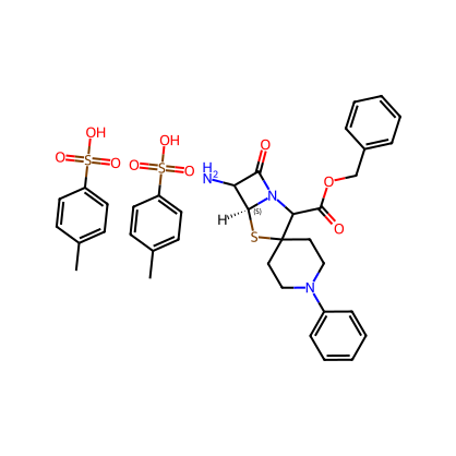 Cc1ccc(S(=O)(=O)O)cc1.Cc1ccc(S(=O)(=O)O)cc1.NC1C(=O)N2C(C(=O)OCc3ccccc3)C3(CCN(c4ccccc4)CC3)S[C@@H]12